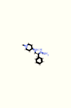 CN1CCC(NC[C@@H](NN)c2ccccc2)CC1